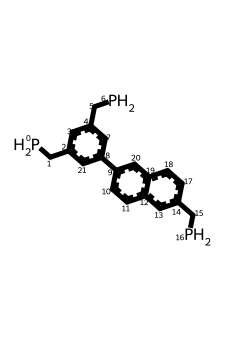 PCc1cc(CP)cc(-c2ccc3cc(CP)ccc3c2)c1